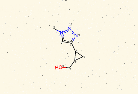 Cn1cc(C2CC2CO)nn1